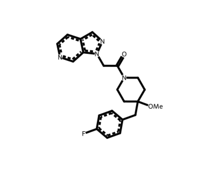 COC1(Cc2ccc(F)cc2)CCN(C(=O)Cn2ncc3ccncc32)CC1